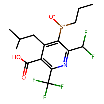 CCC[S+]([O-])c1c(C(F)F)nc(C(F)(F)F)c(C(=O)O)c1CC(C)C